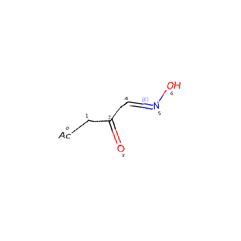 CC(=O)CC(=O)/C=N/O